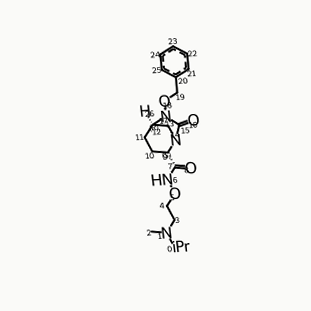 CC(C)N(C)CCONC(=O)[C@@H]1CC[C@@H]2CN1C(=O)N2OCc1ccccc1